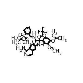 CCOc1cc(C(Nc2ccc3c(N)nccc3c2)(OC(=O)C(F)(F)F)C(=O)NCc2ccccc2S(=O)(=O)C(C)(C)C)ccc1OC(C)C